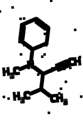 C#CC(C(C)C)N(C)C1C=CC=CC1